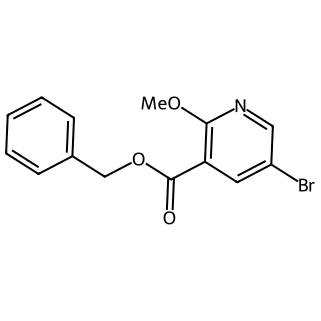 COc1ncc(Br)cc1C(=O)OCc1ccccc1